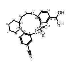 N#Cc1ccc2c(c1)NS(=O)(=O)c1cc(C(O)O)ccc1OCCC1CCCCN21